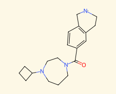 O=C(c1ccc2c(c1)CC[N]C2)N1CCCN(C2CCC2)CC1